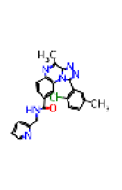 Cc1ccc(Cl)c(-c2nnc3c(C)nc4ccc(C(=O)NCc5ccccn5)cc4n23)c1